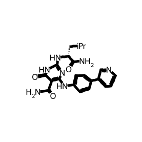 CC(C)C[C@@H](Nc1nc(Nc2ccc(-c3cccnc3)cc2)c(C(N)=O)c(=O)[nH]1)C(N)=O